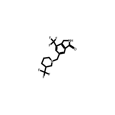 O=C1NCc2c1cc(CN1CCCC(C(F)(F)F)C1)cc2C(F)(F)F